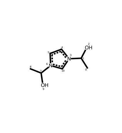 CC(O)n1cc[n+](C(C)O)c1